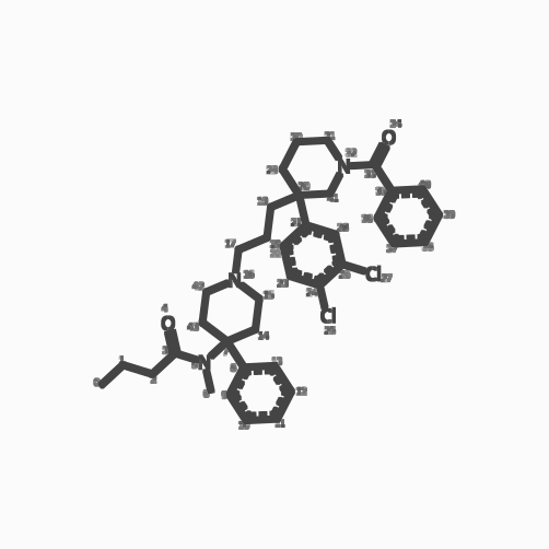 CCCC(=O)N(C)C1(c2ccccc2)CCN(CCCC2(c3ccc(Cl)c(Cl)c3)CCCN(C(=O)c3ccccc3)C2)CC1